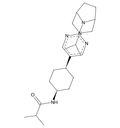 CC(C)C(=O)N[C@H]1CC[C@@H](c2cnc(N3C4CCC3CN(C(C)C)C4)nc2)CC1